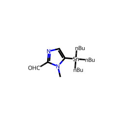 CCC[CH2][Sn]([CH2]CCC)([CH2]CCC)[c]1cnc(C=O)n1C